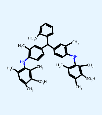 Cc1cc(C(c2ccc(Nc3c(C)cc(C)c(S(=O)(=O)O)c3C)c(C)c2)c2ccccc2S(=O)(=O)O)ccc1Nc1c(C)cc(C)c(S(=O)(=O)O)c1C